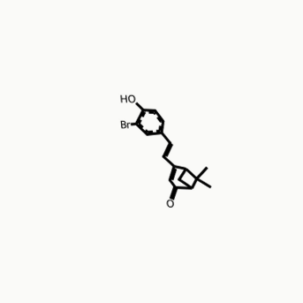 CC1(C)C2CC1C(C=Cc1ccc(O)c(Br)c1)=CC2=O